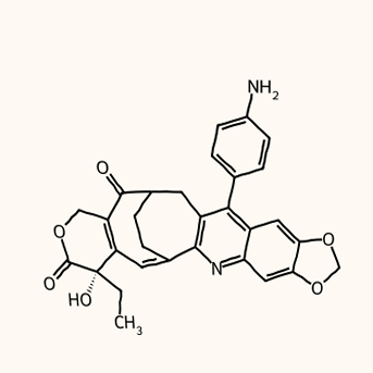 CC[C@@]1(O)C(=O)OCC2=C1/C=C1\CCC(Cc3c1nc1cc4c(cc1c3-c1ccc(N)cc1)OCO4)C2=O